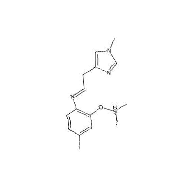 Cc1ccc(N=CCc2cn(C)cn2)c(O[SiH](C)C)c1